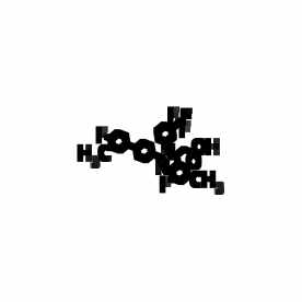 Cc1cc(F)c2c(c1)C(CC(=O)O)N(c1cccc(C(F)(F)F)c1)C(c1ccc(-c3ccc(F)c(C)c3)cc1)=N2